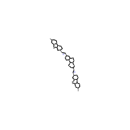 Cc1ccc2c(c1)sc1cc(/C=C/c3ccc4c(ccc5cc(/C=C/c6ccc7c(c6)sc6cc(C)ccc67)ccc54)c3)ccc12